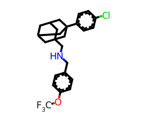 FC(F)(F)Oc1ccc(CNCC23CC4CC(C2)CC(c2ccc(Cl)cc2)(C4)C3)cc1